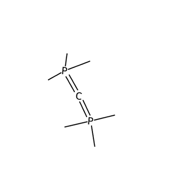 CP(C)(C)=C=P(C)(C)C